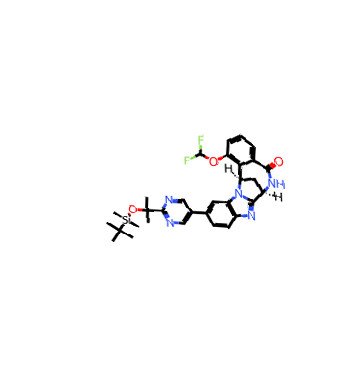 CC(C)(O[Si](C)(C)C(C)(C)C)c1ncc(-c2ccc3nc4n(c3c2)[C@@H]2C[C@H]4NC(=O)c3cccc(OC(F)F)c32)cn1